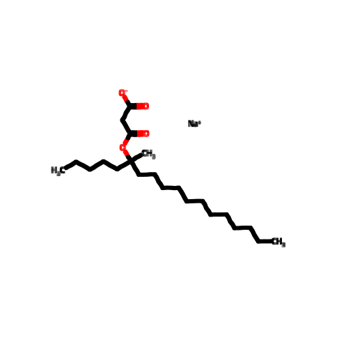 CCCCCCCCCCCCC(C)(CCCCC)OC(=O)CC(=O)[O-].[Na+]